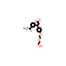 CC(=O)c1ccc2oc(=O)cc(-c3ccc(OCCOCCO)cc3)c2c1